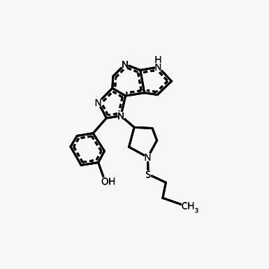 CCCSN1CCC(n2c(-c3cccc(O)c3)nc3cnc4[nH]ccc4c32)C1